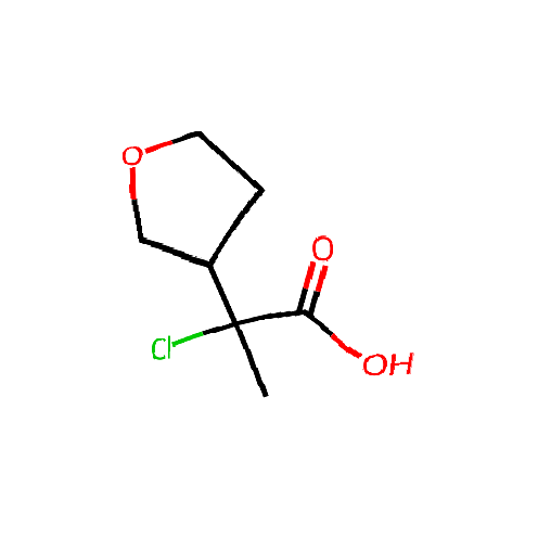 CC(Cl)(C(=O)O)C1CCOC1